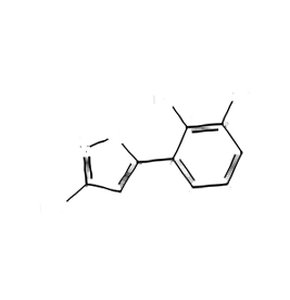 Cc1cc(-c2cccc(Cl)c2C)on1